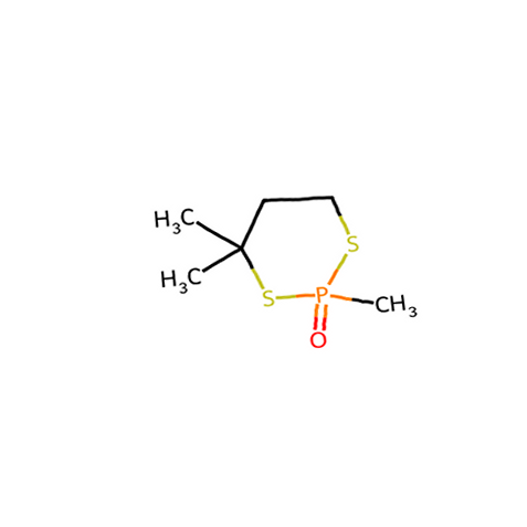 CC1(C)CCSP(C)(=O)S1